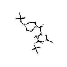 COC[C@H](NC(=O)OC(C)(C)C)C(=O)N1CCN(CC(C)(C)F)CC1